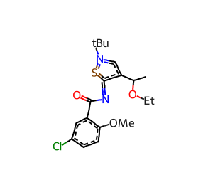 CCOC(C)c1cn(C(C)(C)C)sc1=NC(=O)c1cc(Cl)ccc1OC